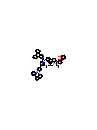 CC1(C)c2cc(-c3cccc4c3oc3ccccc34)ccc2-c2ccc(N(c3ccc(-c4ccc(N(c5ccccc5)c5cccc6ccccc56)cc4)cc3)c3ccc4c5ccccc5c5ccccc5c4c3)cc21